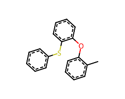 Cc1ccccc1Oc1ccccc1Sc1ccccc1